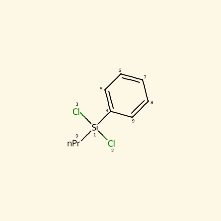 CCC[Si](Cl)(Cl)c1ccccc1